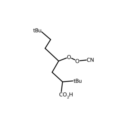 CC(C)(C)CCC(CC(C(=O)O)C(C)(C)C)OOC#N